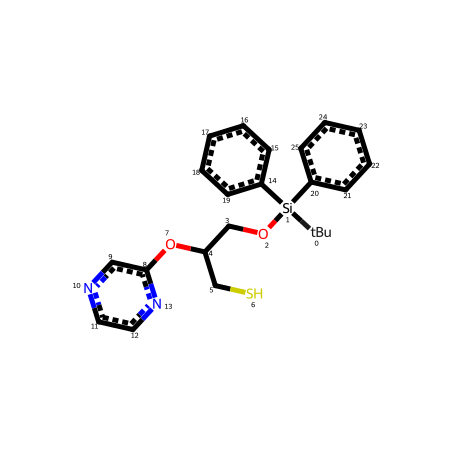 CC(C)(C)[Si](OCC(CS)Oc1cnccn1)(c1ccccc1)c1ccccc1